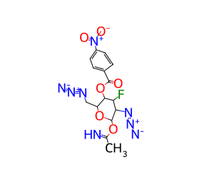 CC(=N)OC1OC(CN=[N+]=[N-])C(OC(=O)c2ccc([N+](=O)[O-])cc2)C(F)C1N=[N+]=[N-]